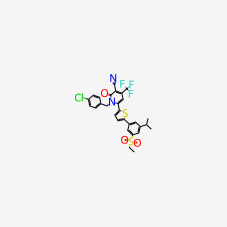 CCS(=O)(=O)c1cc(-c2ccc(-c3cc(C(F)(F)F)c(C#N)c(=O)n3Cc3ccc(Cl)cc3)s2)cc(C(C)C)c1